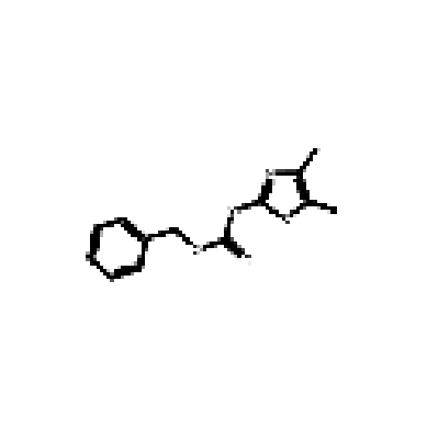 Cc1nc(SC(=O)OCc2ccccc2)sc1C